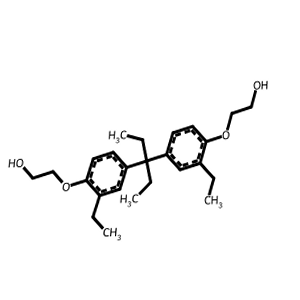 CCc1cc(C(CC)(CC)c2ccc(OCCO)c(CC)c2)ccc1OCCO